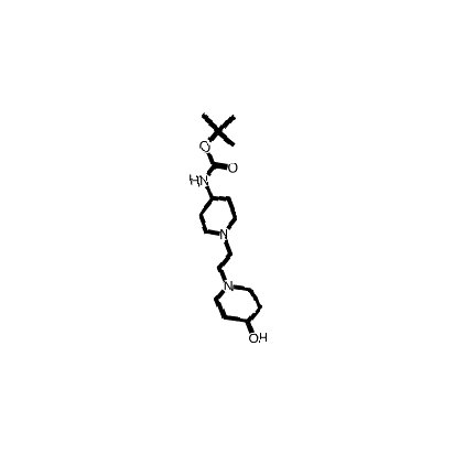 CC(C)(C)OC(=O)NC1CCN(CCN2CCC(O)CC2)CC1